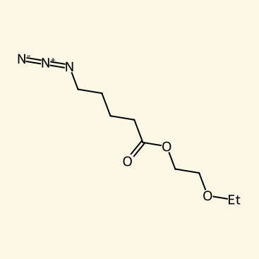 CCOCCOC(=O)CCCCN=[N+]=[N-]